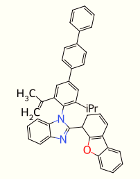 C=C(C)c1cc(-c2ccc(-c3ccccc3)cc2)cc(C(C)C)c1-n1c(C2CC=Cc3c2oc2ccccc32)nc2ccccc21